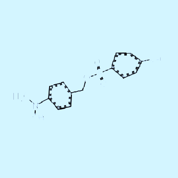 Cc1ccc(S(=O)(=O)OCc2ccc(N(C)C)cc2)cc1